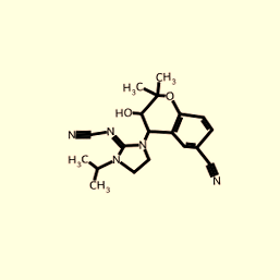 CC(C)N1CCN(C2c3cc(C#N)ccc3OC(C)(C)C2O)C1=NC#N